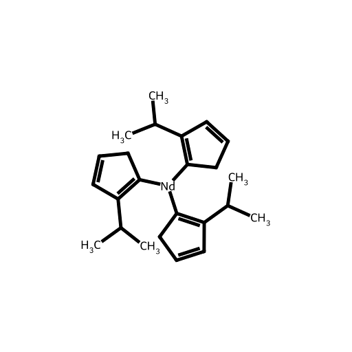 CC(C)C1=[C]([Nd]([C]2=C(C(C)C)C=CC2)[C]2=C(C(C)C)C=CC2)CC=C1